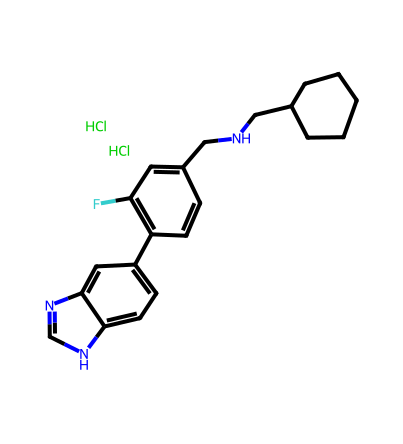 Cl.Cl.Fc1cc(CNCC2CCCCC2)ccc1-c1ccc2[nH]cnc2c1